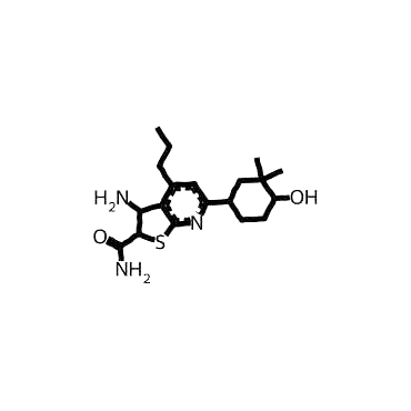 CCCc1cc(C2CCC(O)C(C)(C)C2)nc2c1C(N)C(C(N)=O)S2